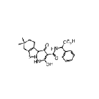 CC1(C)CCC2=C(C1)SN1NC(O)=C(C(=O)NC(C(=O)O)c3ccccc3)C(=O)C21